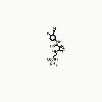 N#Cc1cc(NC(=N)c2nonc2NCCN[S+](N)[O-])ccc1F